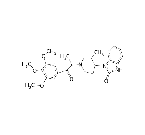 COc1cc(C(=O)C(C)N2CCC(n3c(=O)[nH]c4ccccc43)C(C)C2)cc(OC)c1OC